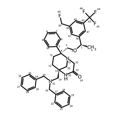 C[C@@H](OC[C@@]1(c2ccccc2)CC[C@]2(CN(Cc3ccccc3)Cc3ccccc3)CN1CC(=O)N2)c1cc(CF)cc(C(F)(F)F)c1